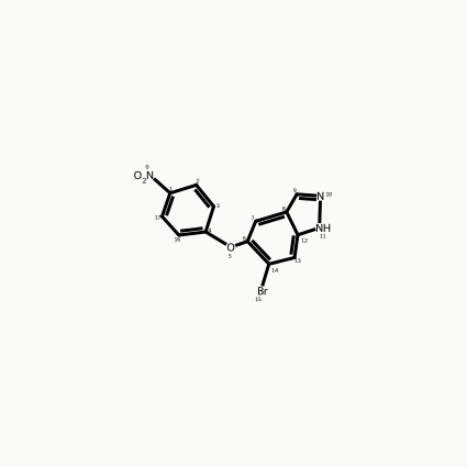 O=[N+]([O-])c1ccc(Oc2cc3cn[nH]c3cc2Br)cc1